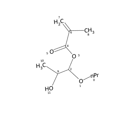 [CH2]CCOC(OC(=O)C(=C)C)C(C)O